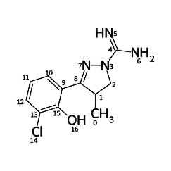 CC1CN(C(=N)N)N=C1c1cccc(Cl)c1O